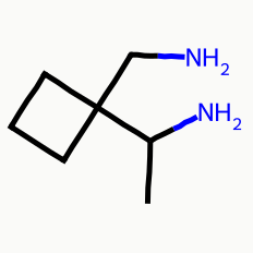 CC(N)C1(CN)CCC1